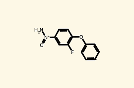 N[N+](=O)c1ccc(Oc2cc[c]cc2)c(F)c1